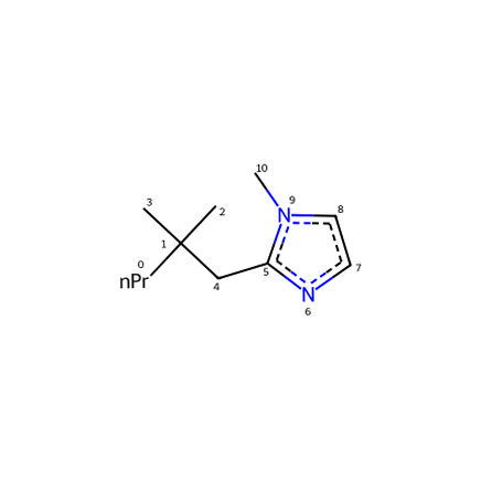 CCCC(C)(C)Cc1nccn1C